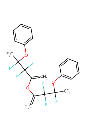 C=C(OC(=C)C(F)(F)C(F)(Oc1ccccc1)C(F)(F)F)C(F)(F)C(F)(Oc1ccccc1)C(F)(F)F